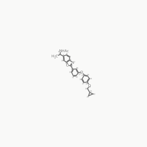 CC(=O)NC(C)c1ccc2nc(-c3cccc(Oc4ccc(OCC5CC5)cc4)c3)oc2c1